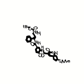 CSc1ccc2cc(C(=O)Nc3cc(C(=O)NC(CCNC(=O)OC(C)(C)C)c4ccccc4)ccc3Cl)c(=O)[nH]c2c1